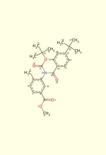 COC(=O)c1ccc(C)c(N(C(=O)OC(C)(C)C)C(=O)c2ccc(C(C)(C)C)cc2)c1